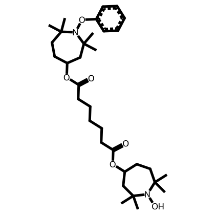 CC1(C)CCC(OC(=O)CCCCCC(=O)OC2CCC(C)(C)N(Oc3ccccc3)C(C)(C)C2)CC(C)(C)N1O